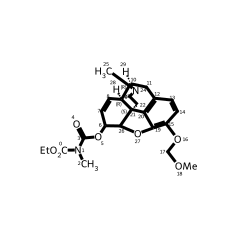 CCOC(=O)N(C)C(=O)OC1C=C[C@H]2[C@H]3Cc4ccc(OCOC)c5c4[C@@]2(CCN3C)C1O5